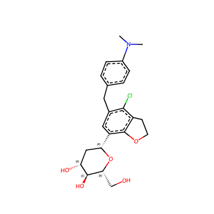 CN(C)c1ccc(Cc2cc([C@H]3C[C@@H](O)[C@H](O)[C@@H](CO)O3)c3c(c2Cl)CCO3)cc1